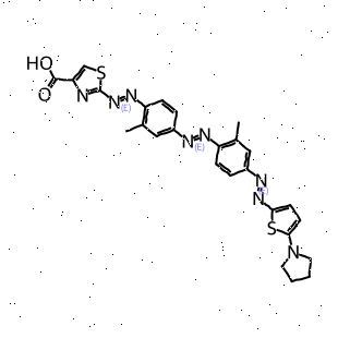 Cc1cc(/N=N/c2ccc(N3CCCC3)s2)ccc1/N=N/c1ccc(/N=N/c2nc(C(=O)O)cs2)c(C)c1